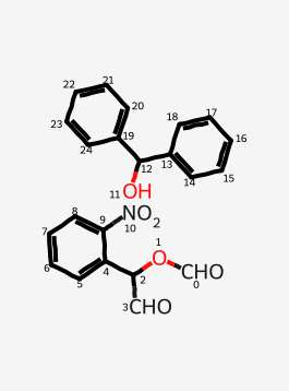 O=COC(C=O)c1ccccc1[N+](=O)[O-].OC(c1ccccc1)c1ccccc1